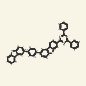 c1ccc(-c2nc(-c3ccccc3)nc(-c3ccc4c(c3)sc3ccc(-c5ccc(-c6ccc7oc8ccccc8c7c6)cc5)cc34)n2)cc1